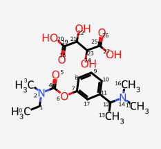 CCN(C)C(=O)Oc1cccc(C(C)N(C)C)c1.O=C(O)C(O)C(O)C(=O)O